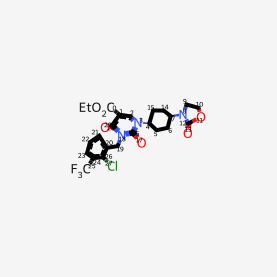 CCOC(=O)c1cn([C@H]2CC[C@H](N3CCOC3=O)CC2)c(=O)n(Cc2cccc(C(F)(F)F)c2Cl)c1=O